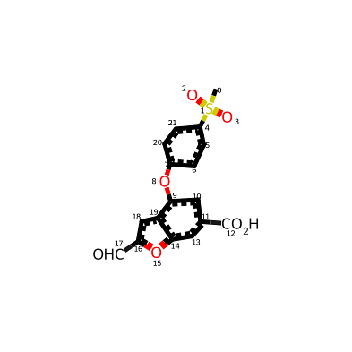 CS(=O)(=O)c1ccc(Oc2cc(C(=O)O)cc3oc(C=O)cc23)cc1